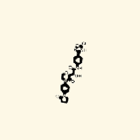 O=C(Nc1ccc(-c2noc(=O)[nH]2)cc1)[C@H](O)[C@H]1OCCN(c2ccc(N3CCCC3=O)cc2)C1=O